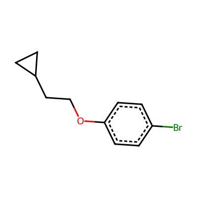 Brc1ccc(OCCC2CC2)cc1